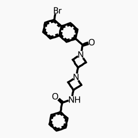 O=C(NC1CN(C2CN(C(=O)c3ccc4c(Br)cccc4c3)C2)C1)c1ccccc1